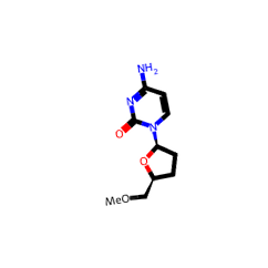 COC[C@@H]1CC[C@H](n2ccc(N)nc2=O)O1